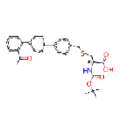 CC(=O)c1ccccc1-c1ccc(-c2ccc(CSC[C@H](NC(=O)OC(C)(C)C)C(=O)O)cc2)cc1